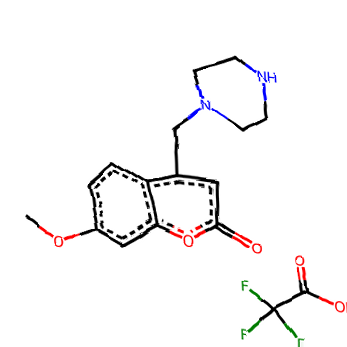 COc1ccc2c(CN3CCNCC3)cc(=O)oc2c1.O=C(O)C(F)(F)F